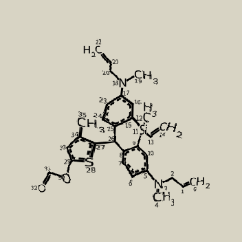 C=CCN(C)c1ccc2c(c1)[Si](C)(C=C)c1cc(N(C)CC=C)ccc1C2c1sc(OC=O)cc1C